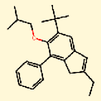 CCC1=Cc2cc(C(C)(C)C)c(OCC(C)C)c(-c3ccccc3)c2C1